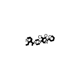 CCc1ncccc1C(C)N1CCN(c2cnn(C3CCCCO3)c(=O)c2Cl)CC1